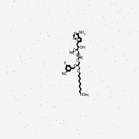 CCCCCCCCCCCCCCCCCCOC[C@H](CO[PH](=S)OC[C@@H](OC#N)[C@@H](O)Cc1ccc2c(N)ncnn12)OCc1cc(F)cc(C#N)c1